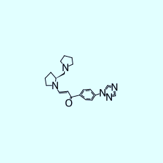 O=C(/C=C/N1CCC[C@H]1CN1CCCC1)c1ccc(-n2cncn2)cc1